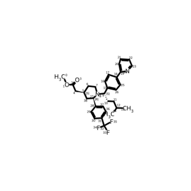 COC(=O)C[C@H]1CCN([C@@H](CCC(C)C)c2ccc(-c3ccccn3)cc2)[C@@H](c2ccc(C(F)(F)F)cc2)C1